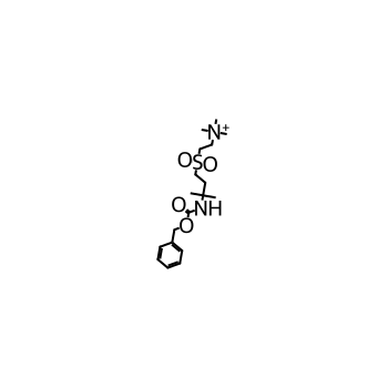 CC(C)(CCS(=O)(=O)CC[N+](C)(C)C)NC(=O)OCc1ccccc1